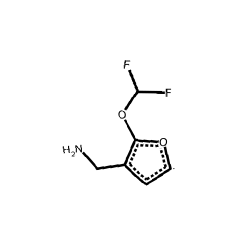 NCc1c[c]oc1OC(F)F